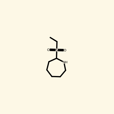 CCS(=O)(=O)C1CCCCCN1